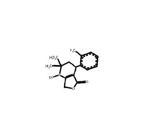 CCN1C2=C(C(=O)OC2)C(c2ccccc2C(F)(F)F)CC1(C)C(=O)O